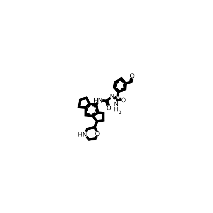 NS(=O)(=NC(=O)Nc1c2c(cc3c1CCC3C1CNCCO1)CCC2)c1cccc(C=O)c1